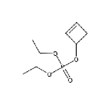 CCOP(=O)(OCC)OC1C=CC1